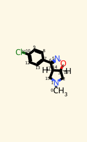 CN1C[C@@H]2ON=C(c3ccc(Cl)cc3)[C@@H]2C1